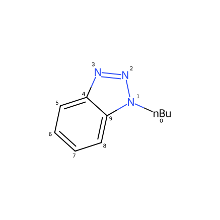 C[CH]CCn1nnc2ccccc21